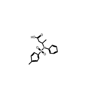 Cc1ccc(S(=O)(=O)N(c2ccccc2)C(C)CC(=O)O)cc1